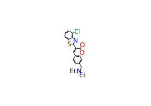 CCN(CC)Cc1ccc2cc(-c3nc4c(Cl)cccc4s3)c(=O)oc2c1